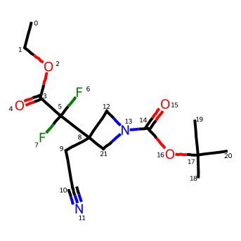 CCOC(=O)C(F)(F)C1(CC#N)CN(C(=O)OC(C)(C)C)C1